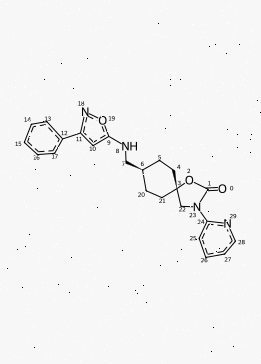 O=C1O[C@]2(CC[C@H](CNc3cc(-c4ccccc4)no3)CC2)CN1c1ccccn1